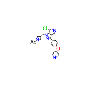 CC(=O)N1CC(Cn2nc(-c3ccc(Oc4ccncc4)cc3)c3cncc(Cl)c32)C1